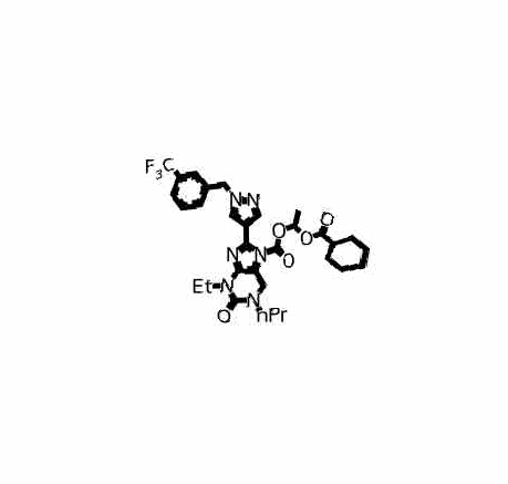 CCCN1Cc2c(nc(-c3cnn(Cc4cccc(C(F)(F)F)c4)c3)n2C(=O)OC(C)OC(=O)C2CCCCC2)N(CC)C1=O